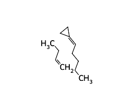 C=CCC.CCCCC=C1CC1